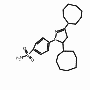 NS(=O)(=O)c1ccc(N2N=C(C3CCCCCCC3)CC2C2CCCCCCC2)cc1